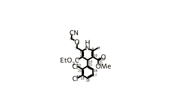 CCOC(=O)C1=C(COCC#N)NC(C)=C(C(=O)OC)C1c1cccc(Cl)c1Cl